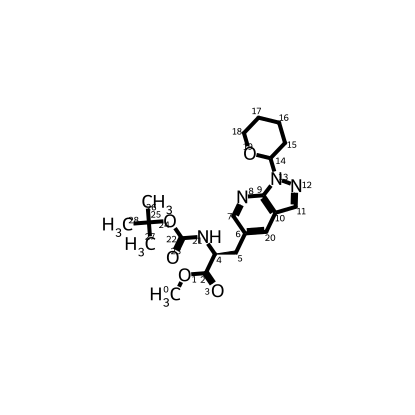 COC(=O)[C@H](Cc1cnc2c(cnn2C2CCCCO2)c1)NC(=O)OC(C)(C)C